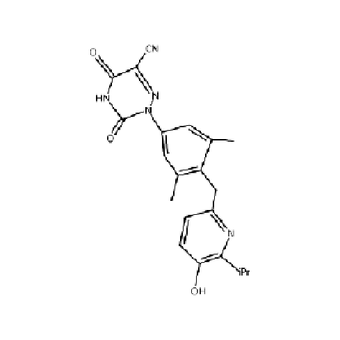 Cc1cc(-n2nc(C#N)c(=O)[nH]c2=O)cc(C)c1Cc1ccc(O)c(C(C)C)n1